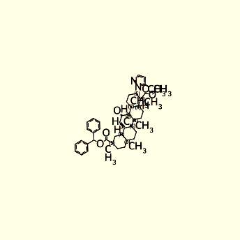 COC(=O)[C@]1(C)[C@@H](n2nccc2C)CC[C@@]2(C)[C@H]1CC[C@]1(C)[C@@H]2C(=O)C=C2[C@@H]3C[C@@](C)(C(=O)OC(c4ccccc4)c4ccccc4)CC[C@]3(C)CC[C@]21C